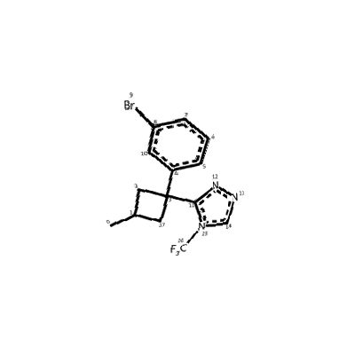 CC1CC(c2cccc(Br)c2)(c2nncn2C(F)(F)F)C1